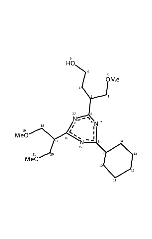 COCC(CCO)c1nc(C2CCCCC2)nc(C(COC)COC)n1